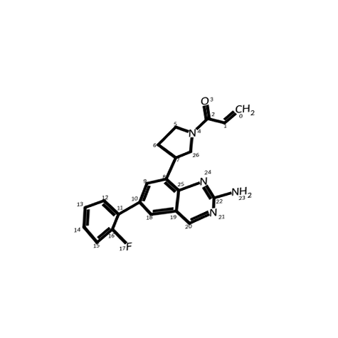 C=CC(=O)N1CCC(c2cc(-c3ccccc3F)cc3cnc(N)nc23)C1